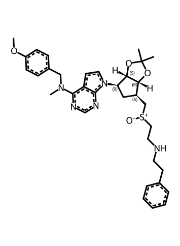 COc1ccc(CN(C)c2ncnc3c2ccn3[C@@H]2C[C@H](C[S+]([O-])CCNCCc3ccccc3)[C@H]3OC(C)(C)O[C@H]32)cc1